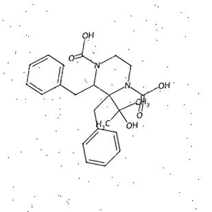 CC(C)(O)C1(Cc2ccccc2)C(Cc2ccccc2)N(C(=O)O)CCN1C(=O)O